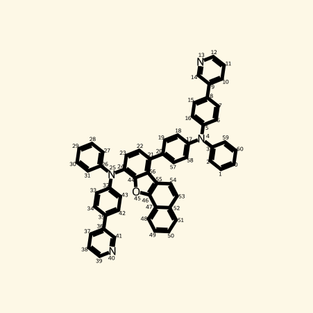 c1ccc(N(c2ccc(-c3cccnc3)cc2)c2ccc(-c3ccc(N(c4ccccc4)c4ccc(-c5cccnc5)cc4)c4oc5c6ccccc6ccc5c34)cc2)cc1